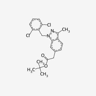 Cc1nn(Cc2c(Cl)cccc2Cl)c2cc(CC(=O)OC(C)(C)C)ccc12